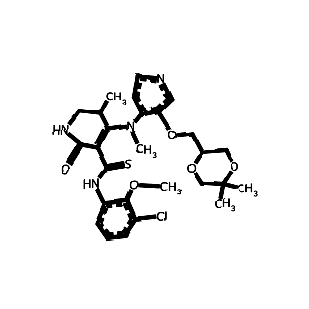 COc1c(Cl)cccc1NC(=S)C1=C(N(C)c2ccncc2OCC2COC(C)(C)CO2)C(C)CNC1=O